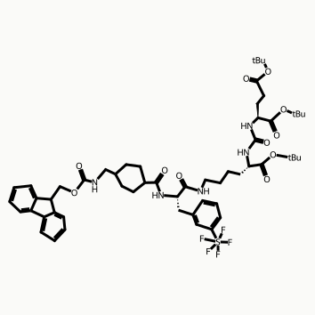 CC(C)(C)OC(=O)CC[C@H](NC(=O)N[C@@H](CCCCNC(=O)[C@H](Cc1cccc(S(F)(F)(F)(F)F)c1)NC(=O)C1CCC(CNC(=O)OCC2c3ccccc3-c3ccccc32)CC1)C(=O)OC(C)(C)C)C(=O)OC(C)(C)C